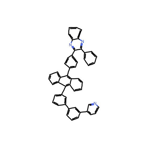 c1ccc(-c2nc3ccccc3nc2-c2ccc(-c3c4ccccc4c(-c4cccc(-c5cccc(-c6cccnc6)c5)c4)c4ccccc34)cc2)cc1